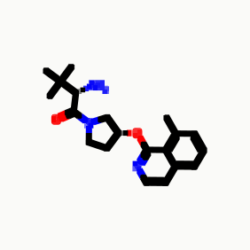 Cc1cccc2ccnc(O[C@@H]3CCN(C(=O)[C@@H](N)C(C)(C)C)C3)c12